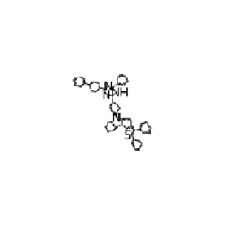 c1ccc(C2=NC(c3ccc(-c4ccccc4)cc3)=NC(c3ccc(-n4c5ccccc5c5c6sc(-c7ccccc7)c(-c7ccccc7)c6ccc54)cc3)N2)cc1